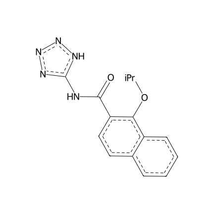 CC(C)Oc1c(C(=O)Nc2nnn[nH]2)ccc2ccccc12